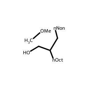 CCCCCCCCCCC(CO)CCCCCCCC.COC